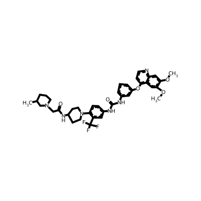 COc1cc2nccc(Oc3cccc(NC(=O)Nc4ccc(N5CCC(NC(=O)CN6CCCC(C)C6)CC5)c(C(F)(F)F)c4)c3)c2cc1OC